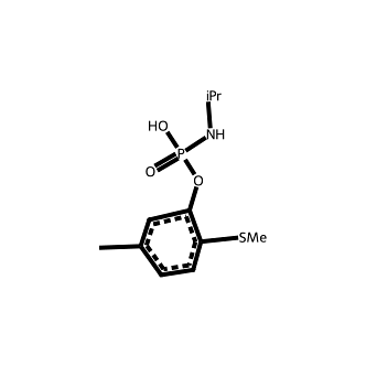 CSc1ccc(C)cc1OP(=O)(O)NC(C)C